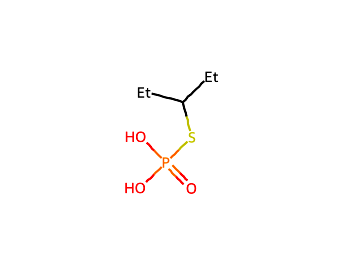 CCC(CC)SP(=O)(O)O